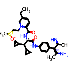 CCC1=CC=C(C(=O)N[C@H](C(=O)Nc2ccc(/C(C(C)=N)=C(\C)N)cc2)C(C2CC2)C2CC2)N(CC[S+](C)[O-])C1